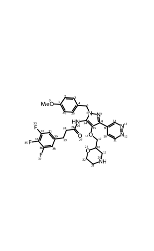 COc1ccc(Cn2nc(-c3ccnnc3)c(OCC3CNCCO3)c2NC(=O)CCc2cc(F)c(F)c(F)c2)cc1